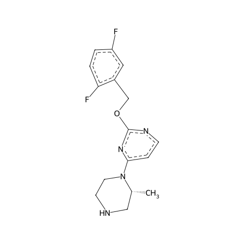 C[C@@H]1CNCCN1c1ccnc(OCc2cc(F)ccc2F)n1